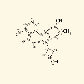 Cc1cc2c(cc1C#N)c(-c1cncc(N)c1C(F)F)cn2C1CC(O)C1